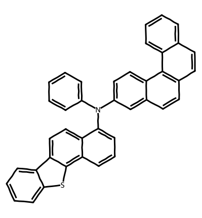 c1ccc(N(c2ccc3c(ccc4ccc5ccccc5c43)c2)c2cccc3c2ccc2c4ccccc4sc32)cc1